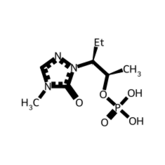 CC[C@@H]([C@@H](C)OP(=O)(O)O)n1ncn(C)c1=O